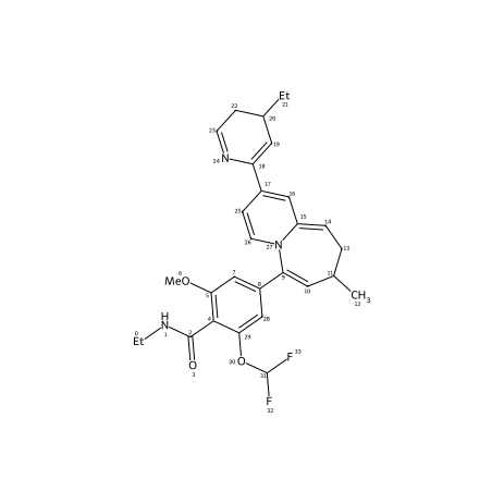 CCNC(=O)c1c(OC)cc(C2=CC(C)CC=C3C=C(C4=CC(CC)CC=N4)C=CN32)cc1OC(F)F